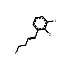 [O]CC/C=C/c1cccc(Cl)c1Cl